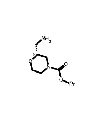 CC(C)OC(=O)N1CCO[C@H](CN)C1